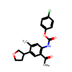 COC(=O)c1cc(C2CCOC2)c(C(F)(F)F)cc1NC(=O)Oc1ccc(Cl)cc1